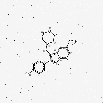 O=C(O)c1ccc2nc(-c3ccc(Cl)cc3)c(CN3CCOCC3)n2c1